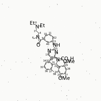 CCN(CC)CCN(C)C(=O)c1cccc(Nc2nccc(N(C(=O)O)C(c3cc(OC)ccc3OC)c3c(C)cccc3C)n2)c1